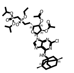 CCOP(=O)(CC[C@H]1O[C@@H](n2cnc3c(NC45CC6C[C@@](C)(C4)C[C@](C)(C6)C5)nc(Cl)nc32)[C@H](OC(C)=O)[C@@H]1OC(C)=O)CP(=O)(OC(C)C)OC(C)C